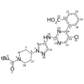 CC(C)(C)C(=O)N1CCC(n2cc(Nc3ncc(Cl)c(-c4ccccc4C(=O)O)n3)cn2)CC1